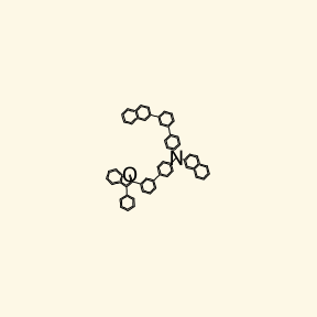 c1ccc(-c2c(-c3cccc(-c4ccc(N(c5ccc(-c6cccc(-c7ccc8ccccc8c7)c6)cc5)c5ccc6ccccc6c5)cc4)c3)oc3ccccc23)cc1